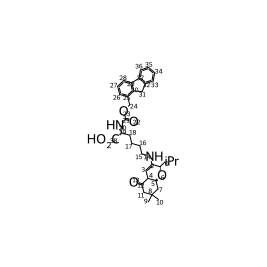 CC(C)CC(=CC1C(=O)CC(C)(C)CC1=O)NCCCC[C@H](NC(=O)OCc1cccc2c1Cc1ccccc1-2)C(=O)O